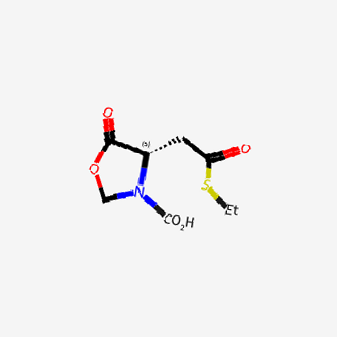 CCSC(=O)C[C@H]1C(=O)OCN1C(=O)O